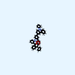 c1ccc(-c2c3ccccc3c(-c3ccccc3-n3c4ccccc4c4cc(-c5ccc6c(c5)c5ccccc5n6-c5ccccc5)ccc43)c3ccccc23)cc1